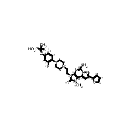 Cn1c(=O)n(CCN2CCN(c3ccc(OC(C)(C)C(=O)O)cc3F)CC2)c2nc(N)n3nc(-c4ccco4)cc3c21